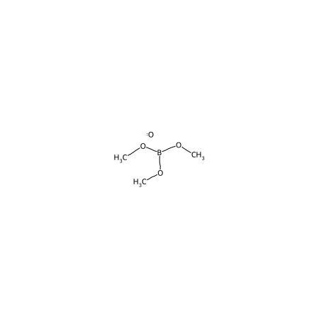 COB(OC)OC.[O]